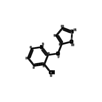 N#Cc1cccnc1Oc1ccbo1